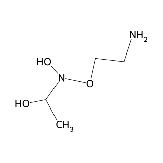 CC(O)N(O)OCCN